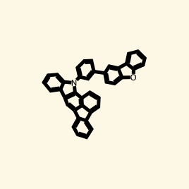 c1cc(-c2ccc3oc4ccccc4c3c2)cc(-n2c3ccccc3c3cc4c5c(cccc5c32)-c2ccccc2-4)c1